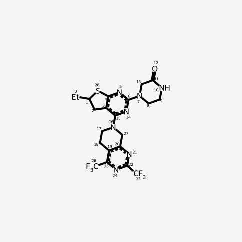 CCC1Cc2c(nc(N3CCNC(=O)C3)nc2N2CCc3c(nc(C(F)(F)F)nc3C(F)(F)F)C2)S1